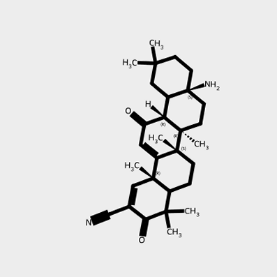 CC1(C)CC[C@]2(N)CC[C@]3(C)[C@H](C(=O)C=C4[C@@]5(C)C=C(C#N)C(=O)C(C)(C)C5CC[C@]43C)C2C1